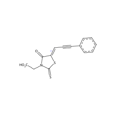 O=C(O)CN1C(=O)/C(=C/C#Cc2ccccc2)SC1=S